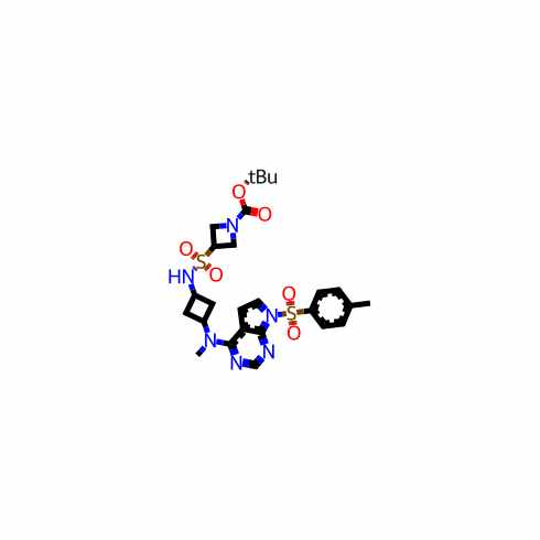 Cc1ccc(S(=O)(=O)n2ccc3c(N(C)C4CC(NS(=O)(=O)C5CN(C(=O)OC(C)(C)C)C5)C4)ncnc32)cc1